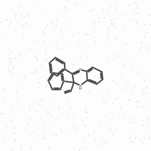 C=CC1(c2ccccc2)Nc2ccccc2N=C1c1ccccc1